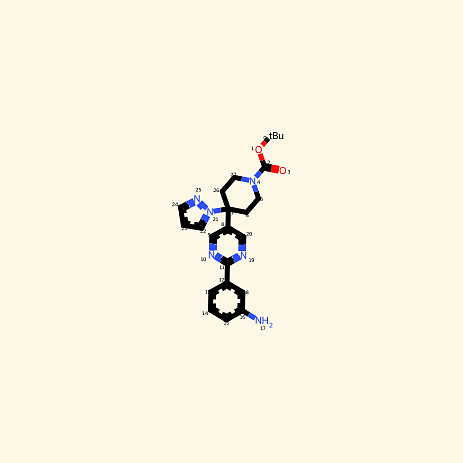 CC(C)(C)OC(=O)N1CCC(c2cnc(-c3cccc(N)c3)nc2)(n2cccn2)CC1